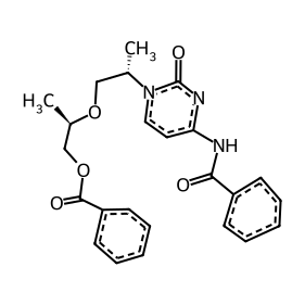 C[C@H](COC(=O)c1ccccc1)OC[C@H](C)n1ccc(NC(=O)c2ccccc2)nc1=O